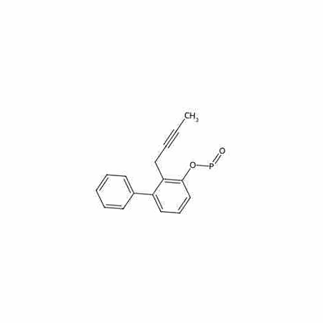 CC#CCc1c(OP=O)cccc1-c1ccccc1